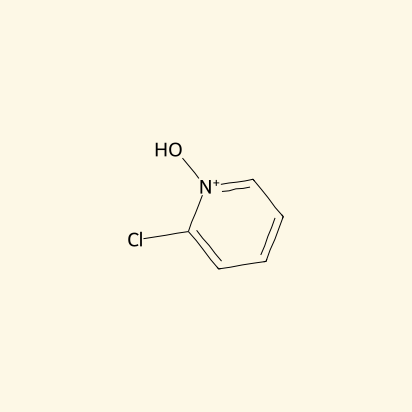 O[n+]1ccccc1Cl